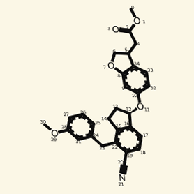 COC(=O)CC1COc2cc(O[C@@H]3CCc4c3ccc(C#N)c4Cc3cccc(OC)c3)ccc21